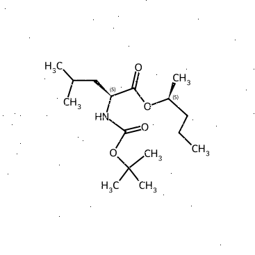 CCC[C@H](C)OC(=O)[C@H](CC(C)C)NC(=O)OC(C)(C)C